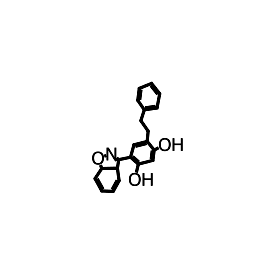 Oc1cc(O)c(C2=NOC3C=CC=CC23)cc1CCc1ccccc1